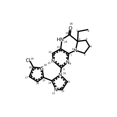 CCC12CCCN1c1nc(-n3ccnc3-c3ccc(Cl)s3)ncc1NC2=O